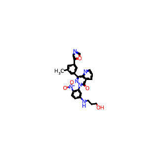 Cc1cc(-c2cnco2)cc(-c2nn(-c3cc(NCCCO)ccc3[N+](=O)[O-])c(=O)c3cccnc23)c1